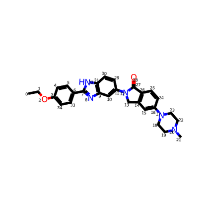 CCOc1ccc(-c2nc3cc(N4Cc5cc(N6CCN(C)CC6)ccc5C4=O)ccc3[nH]2)cc1